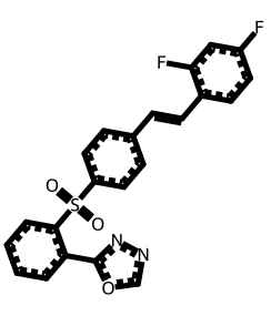 O=S(=O)(c1ccc(/C=C/c2ccc(F)cc2F)cc1)c1ccccc1-c1nnco1